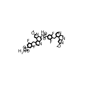 COC1=NC2N=Cc3nccc(Cc4c(F)cc(S(=O)(=O)NC5=Cc6nccc(Cc7c(F)cc(S(N)(=O)=O)cc7F)c6C6=CC(OC)=NC56)cc4F)c3C2=C1